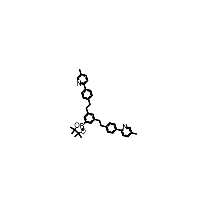 Cc1ccc(-c2ccc(CCc3cc(CCc4ccc(-c5ccc(C)cn5)cc4)cc(B4OC(C)(C)C(C)(C)O4)c3)cc2)nc1